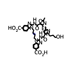 CCc1nc(C)oc1C(=O)Nc1nc2cc(C(=O)O)ccc2n1C/C=C/Cn1c(NC(=O)c2cc(C)nn2CCCO)nc2cc(C(=O)O)ccc21